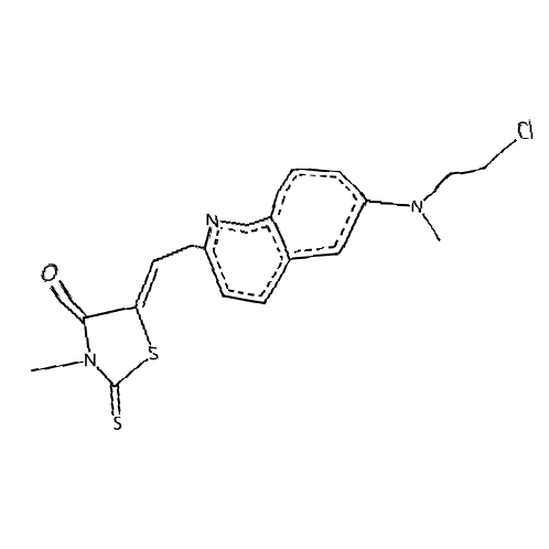 CN1C(=O)/C(=C/c2ccc3cc(N(C)CCCl)ccc3n2)SC1=S